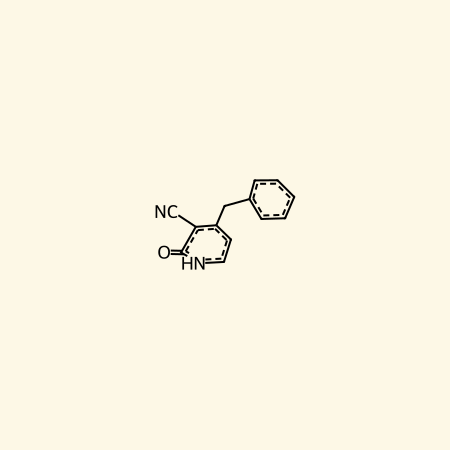 N#Cc1c(Cc2ccccc2)cc[nH]c1=O